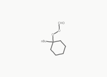 CCCCC1(OOC=O)CCCCC1